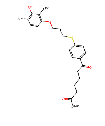 CCCc1c(OCCCSc2ccc(C(=O)CCCCC(=O)OC)cc2)ccc(C(C)=O)c1O